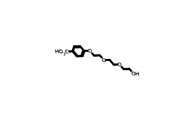 O=C(O)c1ccc(OCCOCCOCCO)cc1